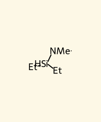 CC[SiH](CC)[N]C